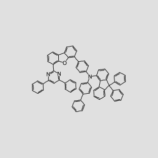 c1ccc(-c2ccc(N(c3ccc(-c4cccc5c4oc4c(-c6nc(-c7ccccc7)cc(-c7ccccc7)n6)cccc45)cc3)c3cccc4c3-c3ccccc3C4(c3ccccc3)c3ccccc3)cc2)cc1